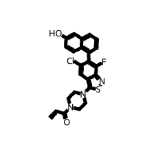 C=CC(=O)N1CCN(c2snc3c(F)c(-c4cccc5cc(O)ccc45)c(Cl)cc23)CC1